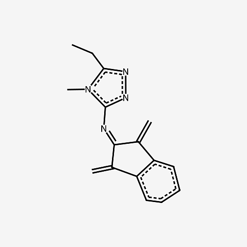 C=C1C(=Nc2nnc(CC)n2C)C(=C)c2ccccc21